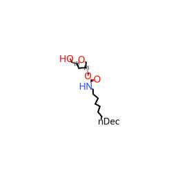 CCCCCCCCCCCCCCCCCNC(=O)OC[C@H]1CO[C@H](CO)C1